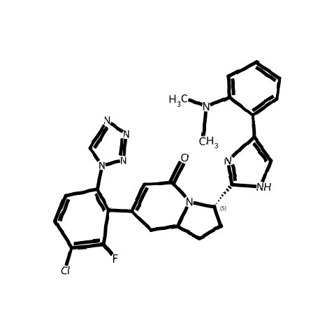 CN(C)c1ccccc1-c1c[nH]c([C@@H]2CCC3CC(c4c(-n5cnnn5)ccc(Cl)c4F)=CC(=O)N32)n1